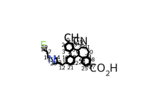 Cc1cccc(C2=C(c3ccc(C=C4CN(CCCF)C4)cc3)c3ccc(C(=O)O)cc3CCC2)c1C#N